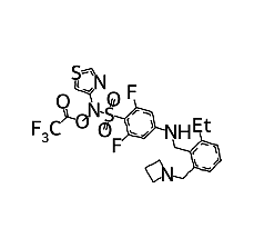 CCc1cccc(CN2CCC2)c1CNc1cc(F)c(S(=O)(=O)N(OC(=O)C(F)(F)F)c2cscn2)c(F)c1